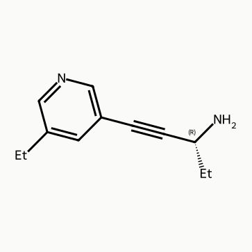 CCc1cncc(C#C[C@H](N)CC)c1